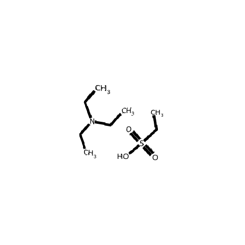 CCN(CC)CC.CCS(=O)(=O)O